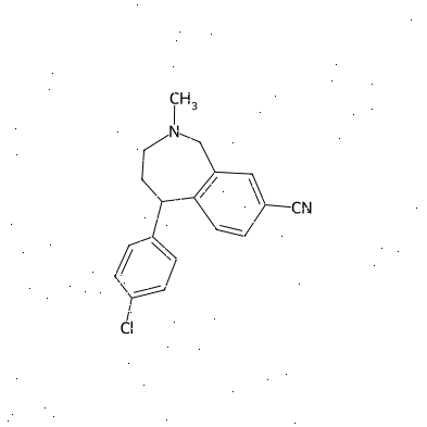 CN1CCC(c2ccc(Cl)cc2)c2ccc(C#N)cc2C1